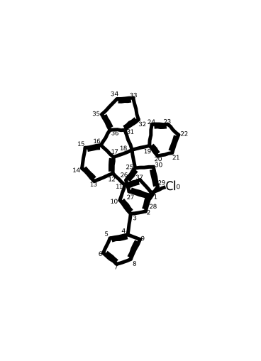 Clc1cc(-c2ccccc2)cc(-c2cccc3c2C(c2ccccc2)(c2ccccc2)c2ccccc2-3)c1